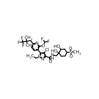 CCn1nc(C(=O)NCC2(O)CCC(S(C)(=O)=O)CC2O)c(Cl)c1-c1ccc(CC(C)(C)C(F)(F)F)nc1OC(F)F